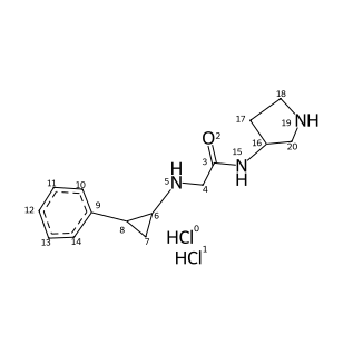 Cl.Cl.O=C(CNC1CC1c1ccccc1)NC1CCNC1